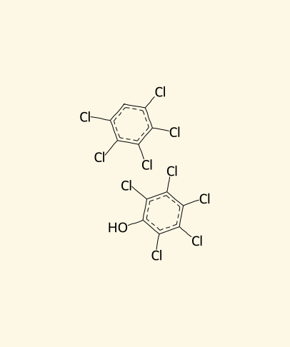 Clc1cc(Cl)c(Cl)c(Cl)c1Cl.Oc1c(Cl)c(Cl)c(Cl)c(Cl)c1Cl